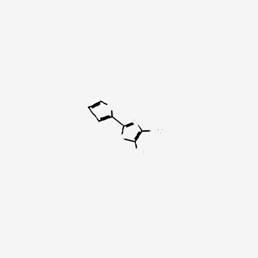 COc1nc(-c2ccco2)oc1C